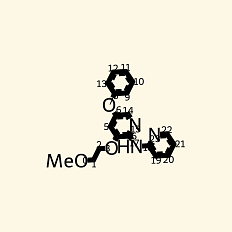 COCCOc1cc(Oc2ccccc2)cnc1Nc1ccccn1